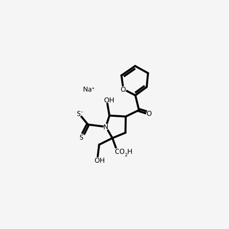 O=C(C1=CCC=CO1)C1CC(CO)(C(=O)O)N(C(=S)[S-])C1O.[Na+]